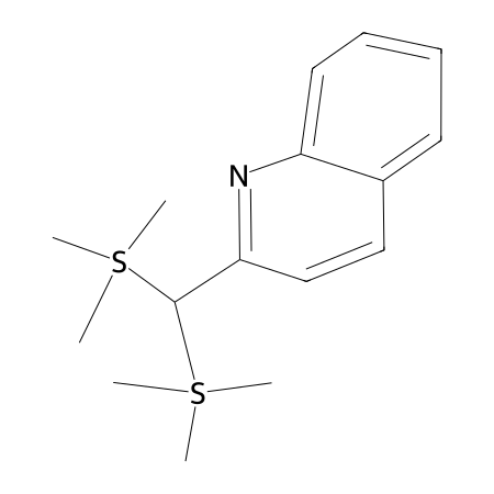 CS(C)(C)C(c1ccc2ccccc2n1)S(C)(C)C